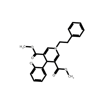 COC(=O)C1=CN(CCc2ccccc2)C=C(C(=O)OC)C1c1ccccc1Cl